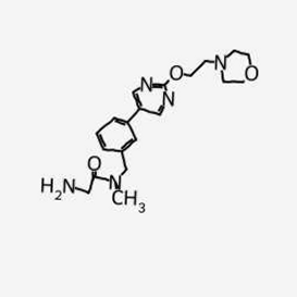 CN(Cc1cccc(-c2cnc(OCCN3CCOCC3)nc2)c1)C(=O)CN